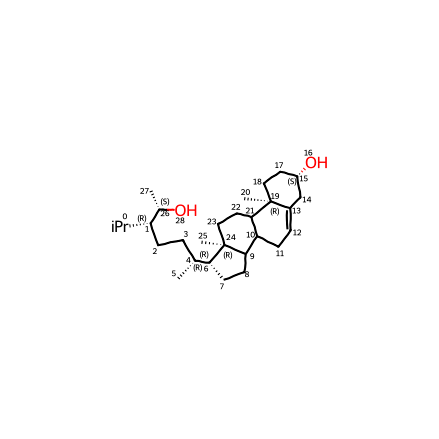 CC(C)[C@@H](CC[C@@H](C)[C@H]1CCC2C3CC=C4C[C@@H](O)CC[C@]4(C)C3CC[C@@]21C)[C@H](C)O